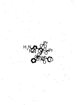 CC(C)C(=O)O[C@H]1[C@H](c2ccc3c(N)ncnn23)O[C@](C)(COP(=O)(N[C@@H](C)C(=O)OC2CCOCC2)Oc2ccccc2)[C@H]1OC(=O)C(C)C